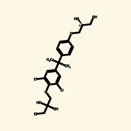 CC(C)(c1ccc(OC[C@H](O)CO)cc1)c1cc(Cl)c(OCC(O)(O)CCl)c(Cl)c1